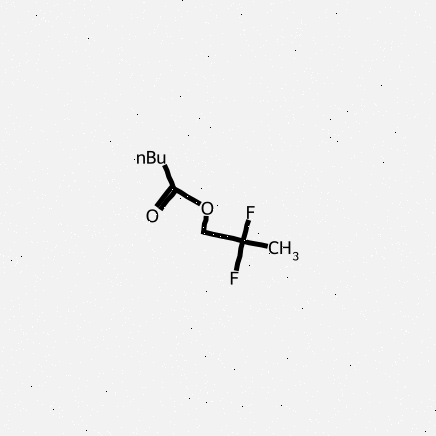 CCCCC(=O)OCC(C)(F)F